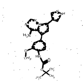 COc1cc(-c2cc(-c3cn[nH]c3)n3ncnc(N)c23)ccc1NC(=O)OC(C)(C)C